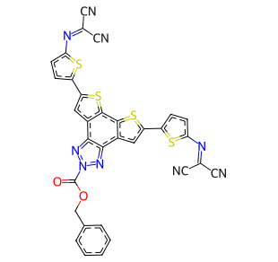 N#CC(C#N)=Nc1ccc(-c2cc3c4nn(C(=O)OCc5ccccc5)nc4c4cc(-c5ccc(N=C(C#N)C#N)s5)sc4c3s2)s1